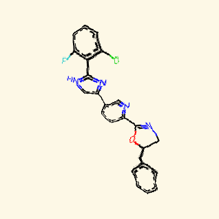 Fc1cccc(Cl)c1-c1nc(-c2ccc(C3=NCC(c4ccccc4)O3)nc2)c[nH]1